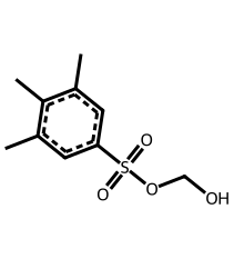 Cc1cc(S(=O)(=O)OCO)cc(C)c1C